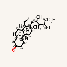 CCC(C[C@@H](C)[C@H]1CC[C@H]2[C@@H]3CCC4CC(=O)CC[C@]4(C)[C@H]3CC[C@]12C)C(=O)O